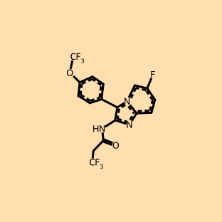 O=C(CC(F)(F)F)Nc1nc2ccc(F)cn2c1-c1ccc(OC(F)(F)F)cc1